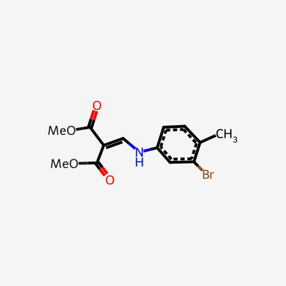 COC(=O)C(=CNc1ccc(C)c(Br)c1)C(=O)OC